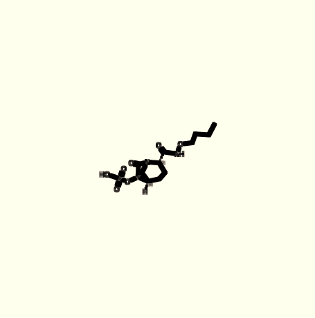 CCCCONC(=O)[C@@H]1CC[C@@H]2CN1C(=O)N2OS(=O)(=O)O